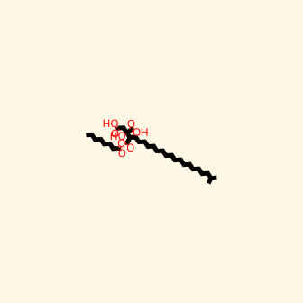 CCCCCCCC(=O)OC(=O)C(CCCCCCCCCCCCCCCCCC(C)C)C(O)(CC(=O)O)C(=O)O